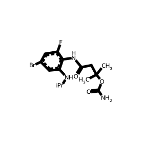 CC(C)Nc1cc(Br)cc(F)c1NC(=O)CC(C)(C)OC(N)=O